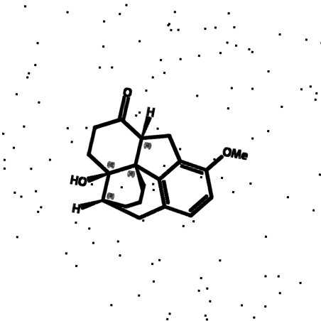 COc1ccc2c3c1C[C@H]1C(=O)CC[C@@]4(O)[C@H](CCC[C@]314)C2